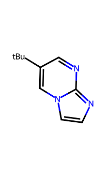 CC(C)(C)c1cnc2nccn2c1